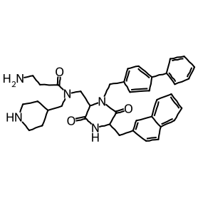 NCCC(=O)N(CC1CCNCC1)CC1C(=O)NC(Cc2ccc3ccccc3c2)C(=O)N1Cc1ccc(-c2ccccc2)cc1